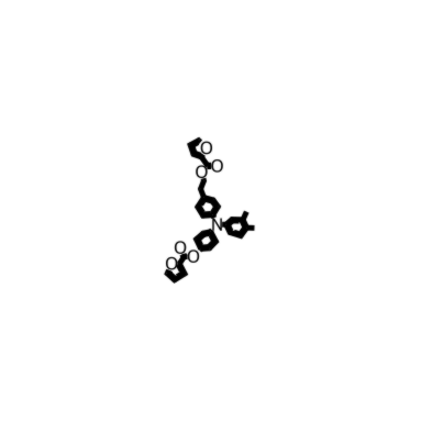 Cc1ccc(N(c2ccc(CCOC(=O)c3ccco3)cc2)c2ccc(OC(=O)c3ccco3)cc2)cc1C